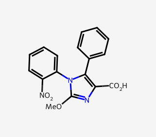 COc1nc(C(=O)O)c(-c2ccccc2)n1-c1ccccc1[N+](=O)[O-]